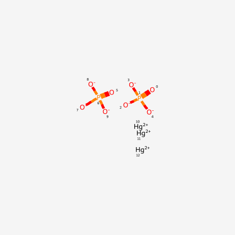 O=P([O-])([O-])[O-].O=P([O-])([O-])[O-].[Hg+2].[Hg+2].[Hg+2]